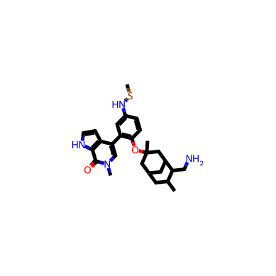 CSNc1ccc(OC2(C)CC3CC(C)C(CN)C(C3)C2)c(-c2cn(C)c(=O)c3[nH]ccc23)c1